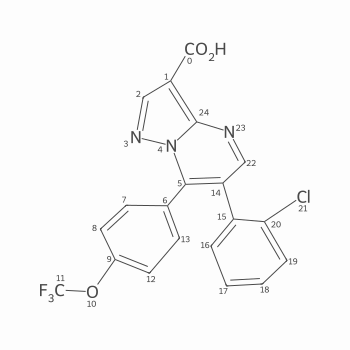 O=C(O)c1cnn2c(-c3ccc(OC(F)(F)F)cc3)c(-c3ccccc3Cl)cnc12